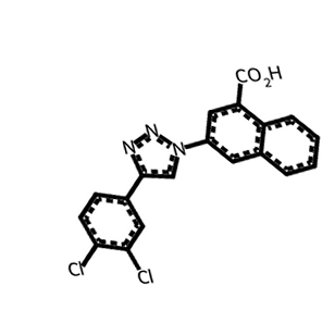 O=C(O)c1cc(-n2cc(-c3ccc(Cl)c(Cl)c3)nn2)cc2ccccc12